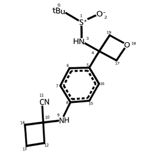 CC(C)(C)[S+]([O-])NC1(c2ccc(NC3(C#N)CCC3)cc2)COC1